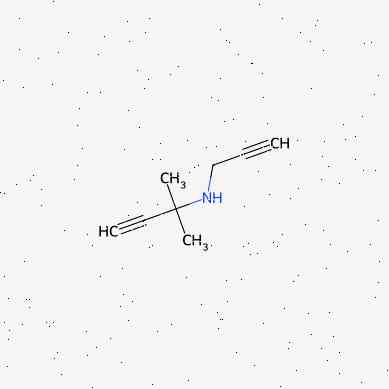 C#CCNC(C)(C)C#C